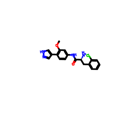 COc1cc(NC(=O)[C@H](N)Cc2ccccc2Cl)ccc1-c1cn[nH]c1